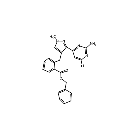 Cn1cc(Cc2ccccc2C(=O)OCc2ccccc2)c(-c2cc(Cl)nc(N)n2)n1